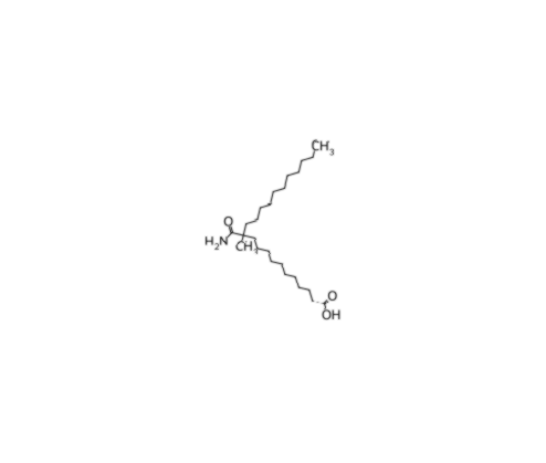 CCCCCCCCCCCC(C)(CCCCCCCCCCC(=O)O)C(N)=O